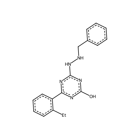 CCc1ccccc1-c1nc(O)nc(NNCc2ccccc2)n1